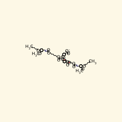 CCCCCOc1ccc(/C=C/C(=O)OCCCCCCOC(=O)C(Cc2ccc([N+](=O)[O-])cc2)(Cc2ccc([N+](=O)[O-])cc2)C(=O)OCCCCCCOC(=O)/C=C/c2ccc(OCCCCC)c(OC)c2)cc1OC